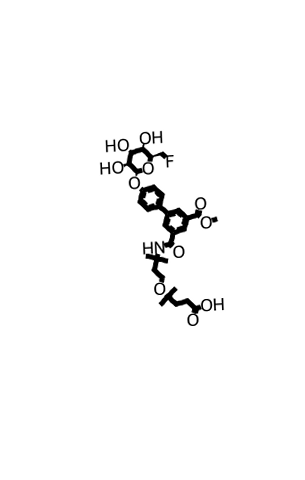 COC(=O)c1cc(C(=O)NC(C)(C)CCOC(C)(C)CCC(=O)O)cc(-c2ccc(O[C@H]3O[C@H](CF)[C@@H](O)[C@H](O)[C@@H]3O)cc2)c1